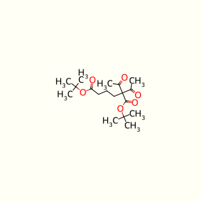 CC(=O)C(CCCC(=O)OC(C)(C)C)(C(C)=O)C(=O)OC(C)(C)C